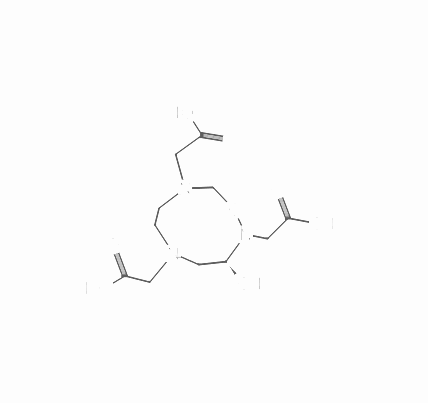 CC(=O)CN1CCN(CC(=O)O)CCN(CC(=O)O)C[C@@H]1C